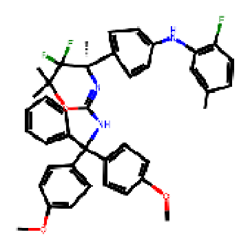 COc1ccc(C(NC2=N[C@](C)(c3ccc(Nc4cc(C)ccc4F)cc3)C(F)(F)C(C)(C)O2)(c2ccccc2)c2ccc(OC)cc2)cc1